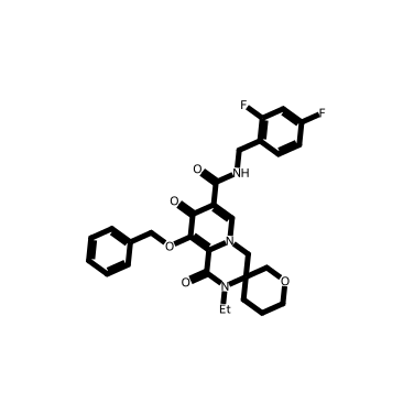 CCN1C(=O)c2c(OCc3ccccc3)c(=O)c(C(=O)NCc3ccc(F)cc3F)cn2CC12CCCOC2